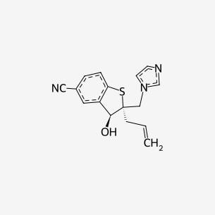 C=CC[C@@]1(Cn2ccnc2)Sc2ccc(C#N)cc2[C@@H]1O